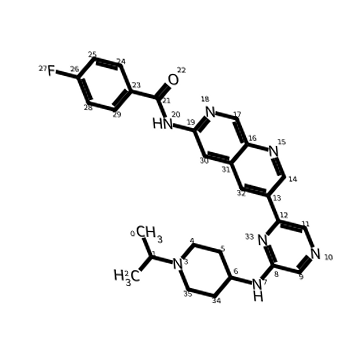 CC(C)N1CCC(Nc2cncc(-c3cnc4cnc(NC(=O)c5ccc(F)cc5)cc4c3)n2)CC1